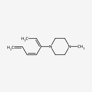 C=C/C=C\C(=C/C)N1CCN(C)CC1